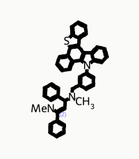 CN/C(=C\C(c1ccccc1)N(C)Cc1cccc(-n2c3ccccc3c3c4c5ccccc5sc4c4ccccc4c32)c1)c1ccccc1